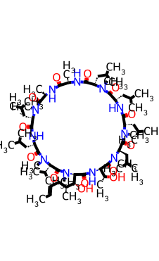 C/C=C/C[C@@H](C)[C@@H](O)[C@H]1C(=O)N[C@@H]([C@@H](C)O)C(=O)N(C)[C@H](CC(C)C)C(=O)N(C)[C@@H](CC(C)C)C(=O)N[C@@H](CC(C)C)C(=O)N(C)[C@@H](CC(C)C)C(=O)N[C@@H](C)C(=O)N[C@H](C)C(=O)N(C)[C@@H](CC(C)C)C(=O)N[C@@H](CC(C)C)C(=O)N(C)[C@@H](C(C)C)C(=O)N1C